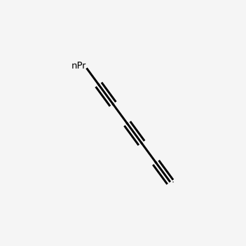 [C]#CC#CC#CCC[CH2]